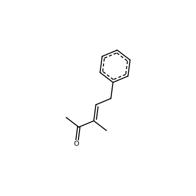 CC(=O)/C(C)=C/Cc1ccccc1